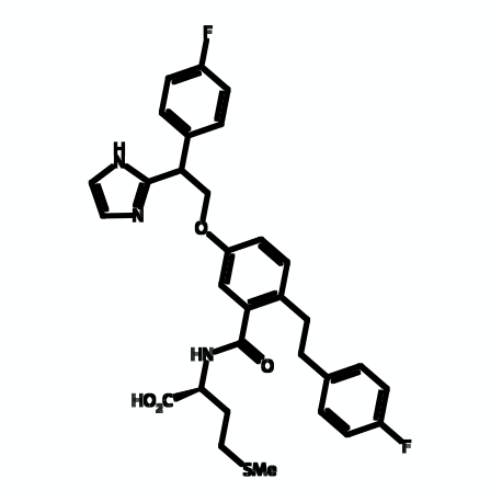 CSCC[C@H](NC(=O)c1cc(OCC(c2ccc(F)cc2)c2ncc[nH]2)ccc1CCc1ccc(F)cc1)C(=O)O